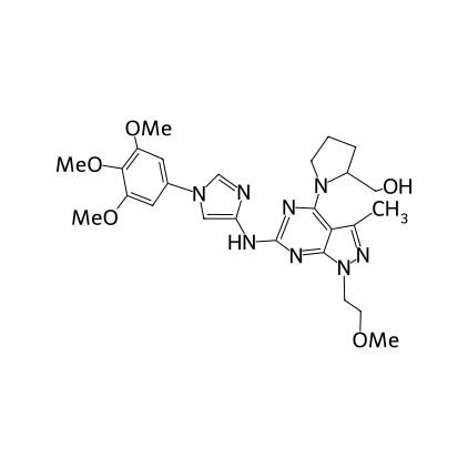 COCCn1nc(C)c2c(N3CCCC3CO)nc(Nc3cn(-c4cc(OC)c(OC)c(OC)c4)cn3)nc21